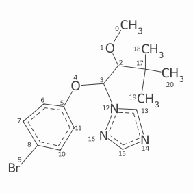 COC(C(Oc1ccc(Br)cc1)n1cncn1)C(C)(C)C